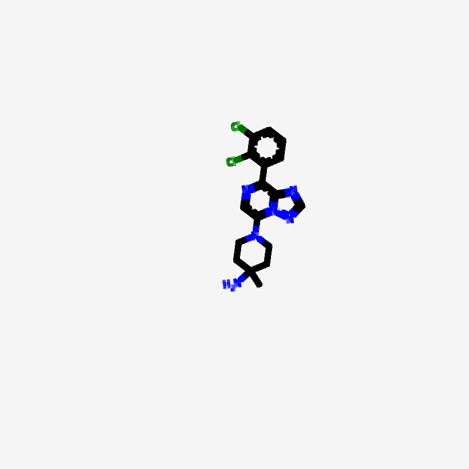 CC1(N)CCN(c2cnc(-c3cccc(Cl)c3Cl)c3ncnn23)CC1